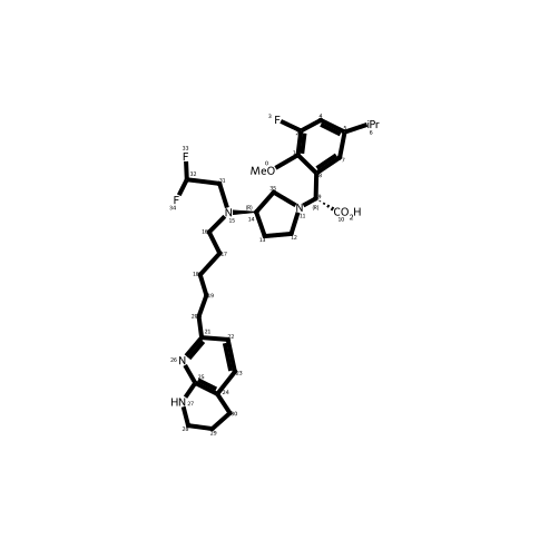 COc1c(F)cc(C(C)C)cc1[C@H](C(=O)O)N1CC[C@@H](N(CCCCCc2ccc3c(n2)NCCC3)CC(F)F)C1